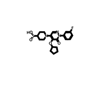 O=c1c(OC2CCCC2)c(N2CCC(S(=O)O)CC2)cnn1-c1cccc(F)c1